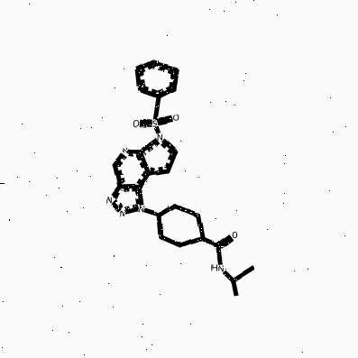 CC(C)NC(=O)C1CCC(n2nnc3cnc4c(ccn4S(=O)(=O)c4ccccc4)c32)CC1